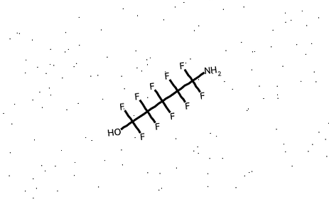 NC(F)(F)C(F)(F)C(F)(F)C(F)(F)C(O)(F)F